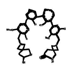 COc1cc(-c2cccc(-c3cccc(-c4cc(OC)c(CN5CC6(CNC(O)C6)C5)c(Cl)n4)c3Cl)c2Cl)nc(Cl)c1CN1CC2(CNC(=O)C2)C1